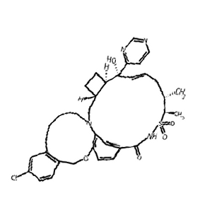 C[C@@H]1[C@@H](C)C/C=C/[C@](O)(c2ccncn2)[C@@H]2CC[C@H]2CN2CCCCc3cc(Cl)ccc3COc3ccc(cc32)C(=O)NS1(=O)=O